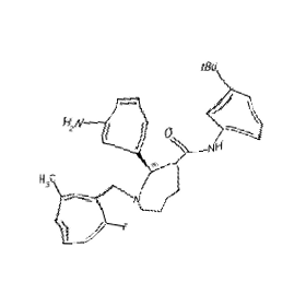 Cc1cccc(F)c1CN1CCCC(C(=O)Nc2cccc(C(C)(C)C)c2)[C@@H]1c1cccc(N)c1